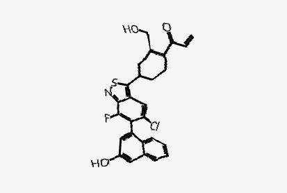 C=CC(=O)C1CCC(c2snc3c(F)c(-c4cc(O)cc5ccccc45)c(Cl)cc23)C[C@H]1CO